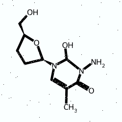 CC1=CN([C@H]2CC[C@@H](CO)O2)C(O)N(N)C1=O